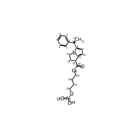 C=C(c1ccccc1)c1ccc2n1CCC2C(=O)OCCCCON(O)O